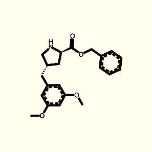 COc1cc(C[C@@H]2CN[C@@H](C(=O)OCc3ccccc3)C2)cc(OC)c1